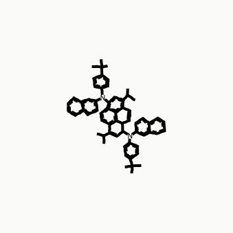 CC(C)C1=CC(N(c2ccc(C(C)(C)C)cc2)c2ccc3ccccc3c2)C2C=Cc3c(C(C)C)cc(N(c4ccc(C(C)(C)C)cc4)c4ccc5ccccc5c4)c4ccc1c2c34